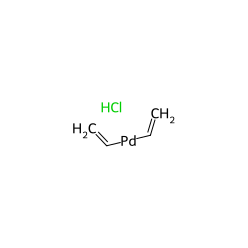 C=[CH][Pd][CH]=C.Cl